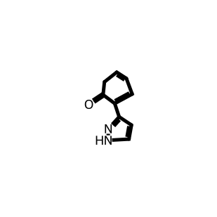 O=C1CC=CC=C1c1cc[nH]n1